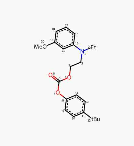 CCN(CCOC(=O)Oc1ccc(C(C)(C)C)cc1)c1cccc(OC)c1